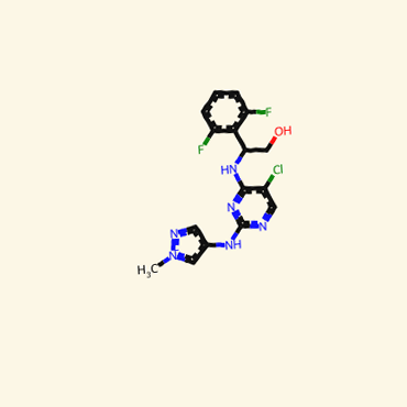 Cn1cc(Nc2ncc(Cl)c(NC(CO)c3c(F)cccc3F)n2)cn1